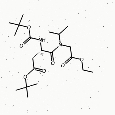 CCOC(=O)CN(C(=O)[C@H](CC(=O)OC(C)(C)C)NC(=O)OC(C)(C)C)C(C)C